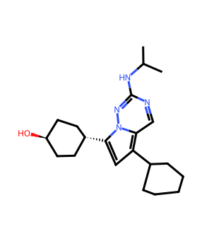 CC(C)Nc1ncc2c(C3CCCCC3)cc([C@H]3CC[C@H](O)CC3)n2n1